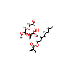 C=C(C)C(=O)OCCCCCCCC.C=CC(=O)O.COC(O)COCCO